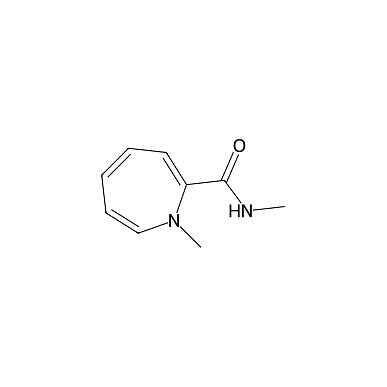 CNC(=O)C1=CC=CC=CN1C